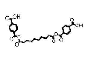 O=C(CCCCCCCCC(=O)OC(=O)c1ccc(C(=O)O)cc1)OC(=O)c1ccc(C(=O)O)cc1